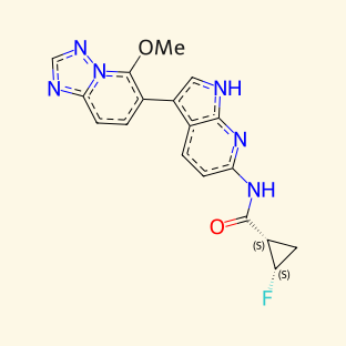 COc1c(-c2c[nH]c3nc(NC(=O)[C@@H]4C[C@@H]4F)ccc23)ccc2ncnn12